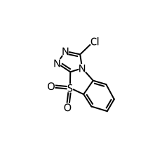 O=S1(=O)c2ccccc2-n2c(Cl)nnc21